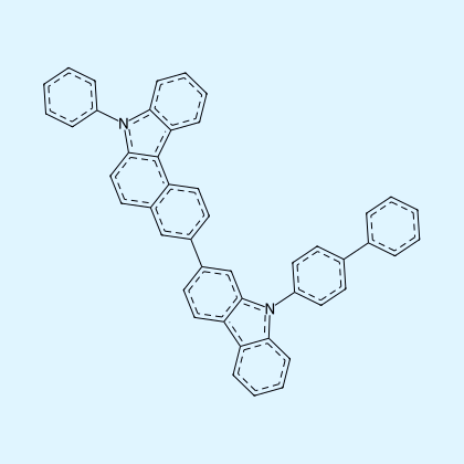 c1ccc(-c2ccc(-n3c4ccccc4c4ccc(-c5ccc6c(ccc7c6c6ccccc6n7-c6ccccc6)c5)cc43)cc2)cc1